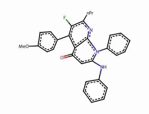 CCCc1nc2c(c(-c3ccc(OC)cc3)c1F)c(=O)cc(Nc1ccccc1)n2-c1ccccc1